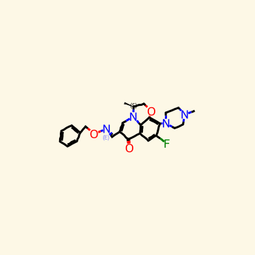 C[C@H]1COc2c(N3CCN(C)CC3)c(F)cc3c(=O)c(/C=N/OCc4ccccc4)cn1c23